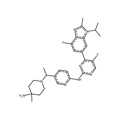 Cc1nc2c(F)cc(-c3nc(Nc4ccc(C(C)N5CCC(C)(N)CC5)cn4)ncc3F)cc2n1C(C)C